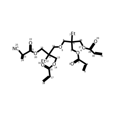 C=CC(=O)OCC(CC)(COCC(CC)(COC(=O)C=C)COC(=O)C(=C)C#N)COC(=O)C=C